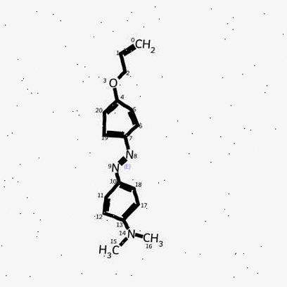 C=CCOc1ccc(/N=N/c2ccc(N(C)C)cc2)cc1